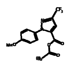 COc1ccc(-n2nc(C(F)(F)F)cc2C(=O)OC(=O)C(C)(C)C)cc1